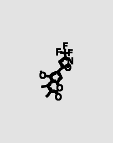 COc1cc(-c2cc(C(F)(F)F)no2)cc2oc(=O)c(C)c(C)c12